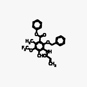 C=CCNc1c(C=O)c(OC(F)(F)F)c(C)c(C(=O)Oc2ccccc2)c1OCc1ccccc1